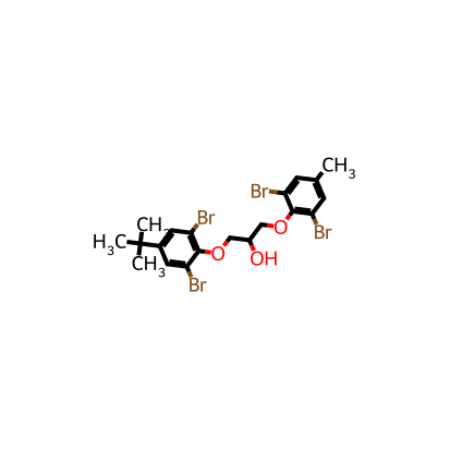 Cc1cc(Br)c(OCC(O)COc2c(Br)cc(C(C)(C)C)cc2Br)c(Br)c1